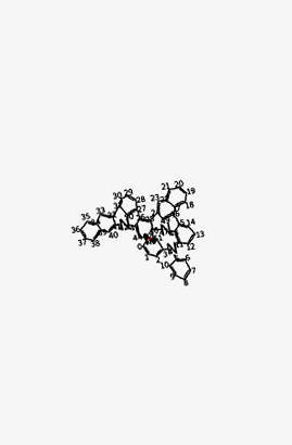 c1ccc(N(c2ccccc2)c2cccc3c4c5ccccc5cc5c6c7c8cccc9c%10cc%11ccccc%11cc%10n(c7cnc6n(c23)c54)c98)cc1